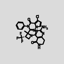 CC1(c2nn3ccc(Cl)c3c(=O)n2-c2ccccc2)[C@@H](C(F)(F)F)CN1c1nc(N)nc2c1C(=O)NCC2